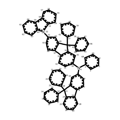 c1ccc(N(c2ccc3c(c2)C(c2ccccc2)(c2ccccc2)c2ccccc2-3)c2ccc3c(c2)C(c2ccccc2)(c2ccccc2)c2cc(-n4c5ccccc5c5ccccc54)ccc2-3)cc1